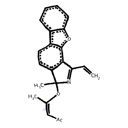 C=CC1=NC(C)(O/C(C)=C\C(C)=O)c2ccc3c(oc4ccccc43)c21